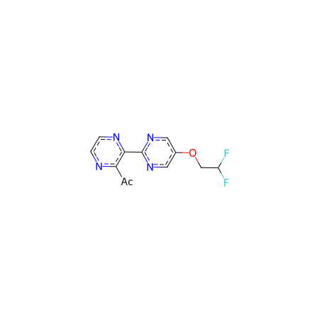 CC(=O)c1nccnc1-c1ncc(OCC(F)F)cn1